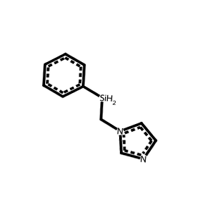 c1ccc([SiH2]Cn2ccnc2)cc1